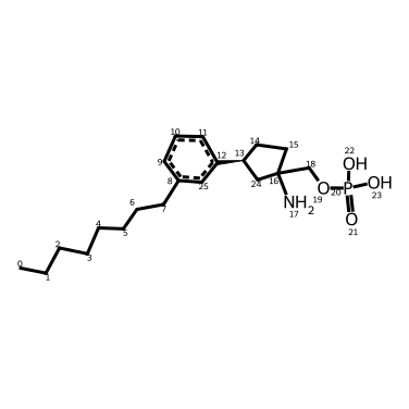 CCCCCCCCc1cccc([C@H]2CCC(N)(COP(=O)(O)O)C2)c1